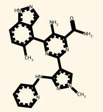 Cc1ccc2[nH]ncc2c1-c1nc(-c2cn(C)nc2Nc2ccccn2)nc(C(N)=O)c1N